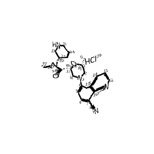 C[C@@H]1CN(c2ccc(C#N)c3ncccc23)C[C@H](C(=O)N(C)[C@H]2CCCNC2)O1.Cl